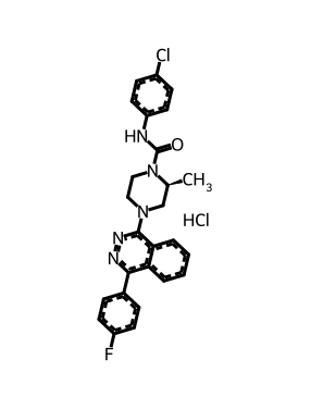 C[C@H]1CN(c2nnc(-c3ccc(F)cc3)c3ccccc23)CCN1C(=O)Nc1ccc(Cl)cc1.Cl